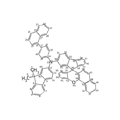 CC1(C)c2ccccc2-c2ccc(N(c3ccc(-c4cccc5ccccc45)cc3)c3ccc4c(c3)C3(c5ccccc5Oc5c3ccc3ccccc53)c3ccccc3-4)cc21